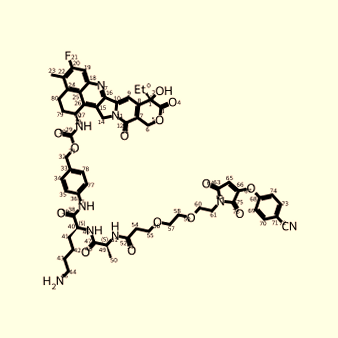 CC[C@@]1(O)C(=O)OCc2c1cc1n(c2=O)Cc2c-1nc1cc(F)c(C)c3c1c2[C@@H](NC(=O)OCc1ccc(NC(=O)[C@H](CCCCN)NC(=O)[C@H](C)NC(=O)CCOCCOCCN2C(=O)C=C(Oc4ccc(C#N)cc4)C2=O)cc1)CC3